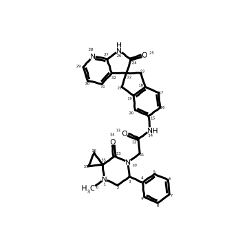 CN1CC(c2ccccc2)N(CC(=O)Nc2ccc3c(c2)CC2(C3)C(=O)Nc3ncccc32)C(=O)C12CC2